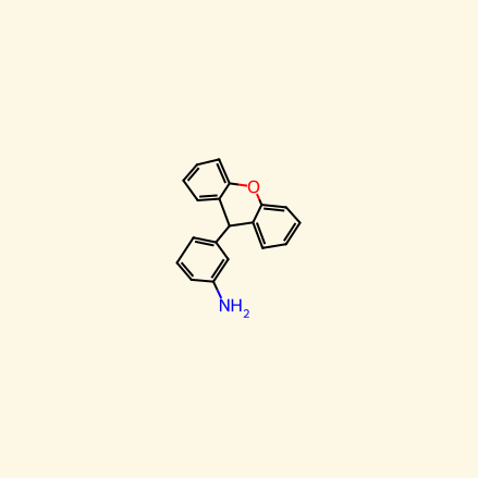 Nc1cccc(C2c3ccccc3Oc3ccccc32)c1